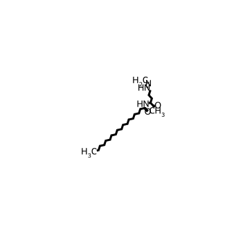 C=NNCCCC(NC(=O)CCCCCCCCCCCCCCCCC)C(C)=O